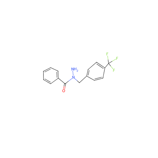 NN(Cc1ccc(C(F)(F)F)cc1)C(=O)c1ccccc1